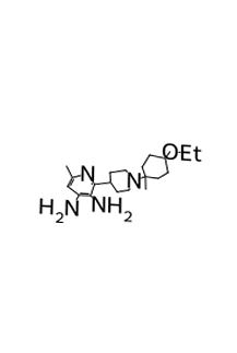 CCOC1CCC(C)(N2CCC(c3nc(C)cc(N)c3N)CC2)CC1